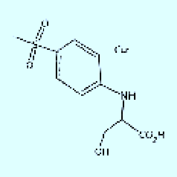 CS(=O)(=O)c1ccc(NC(CO)C(=O)O)cc1.[Cu]